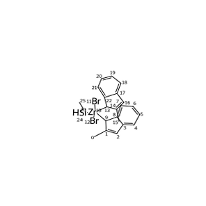 CC1=Cc2ccccc2[CH]1[Zr]([Br])([Br])([CH]1C(C)=Cc2ccccc21)[SiH](C)C